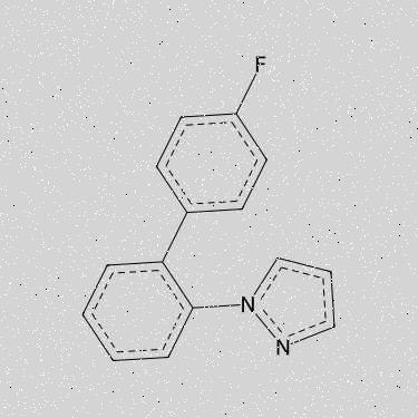 Fc1ccc(-c2ccccc2-n2cccn2)cc1